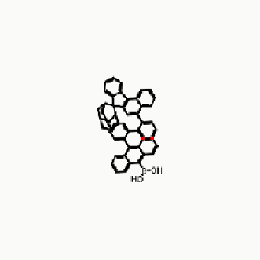 OB(O)c1c2ccccc2c(-c2ccccc2-c2ccccc2-c2cc3c(c4ccccc24)-c2ccccc2C32C3CC4CC(C3)CC2C4)c2ccccc12